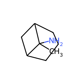 CC1(N)C2CCCC1C2